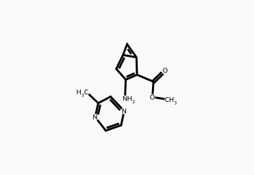 COC(=O)c1c(N)cc2cc1-2.Cc1cnccn1